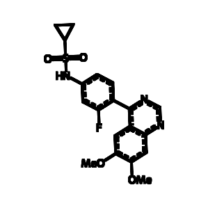 COc1cc2ncnc(-c3ccc(NS(=O)(=O)C4CC4)cc3F)c2cc1OC